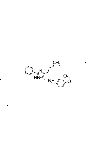 CCCCc1nc(-c2ccccc2)[nH]c1CNCc1ccc2c(c1)OCO2